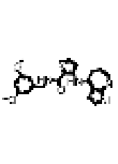 COc1cc(CNC(=O)c2sccc2NC2=c3cc[nH]c3=NC=CC2)cc(OC)c1